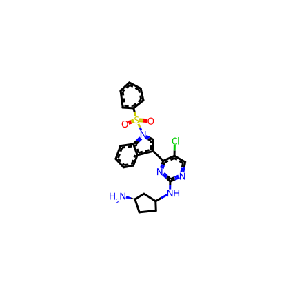 N[C@@H]1CCC(Nc2ncc(Cl)c(-c3cn(S(=O)(=O)c4ccccc4)c4ccccc34)n2)C1